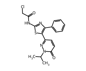 CC(C)n1nc(-c2sc(NC(=O)CCl)nc2-c2ccccc2)ccc1=O